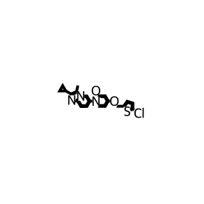 Cc1c(C2CC2)nc2ccc(-n3ccc(OCc4ccc(Cl)s4)cc3=O)cn12